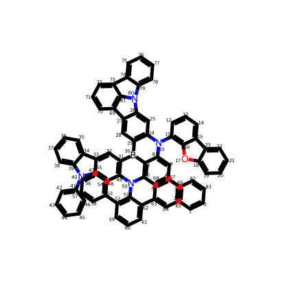 c1ccc(-c2cc3c4c(c2)N(c2cccc5c2oc2ccccc25)c2cc5c(cc2B4c2cc4c6ccccc6n(-c6ccccc6)c4cc2N3c2c(-c3ccccc3)cccc2-c2ccccc2)c2cccc3c4ccccc4n5c32)cc1